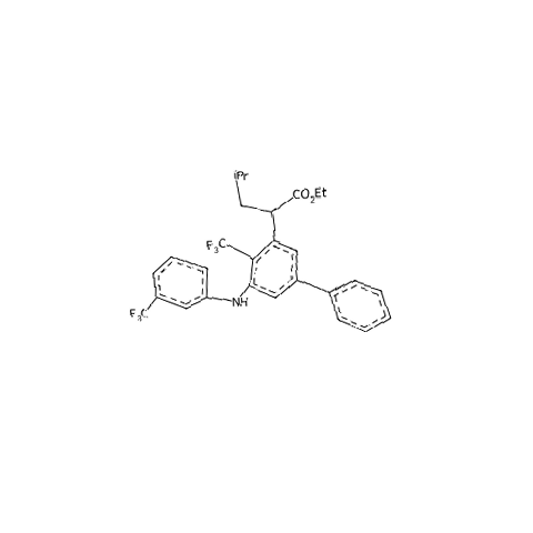 CCOC(=O)C(CC(C)C)c1cc(-c2ccccc2)cc(Nc2cccc(C(F)(F)F)c2)c1C(F)(F)F